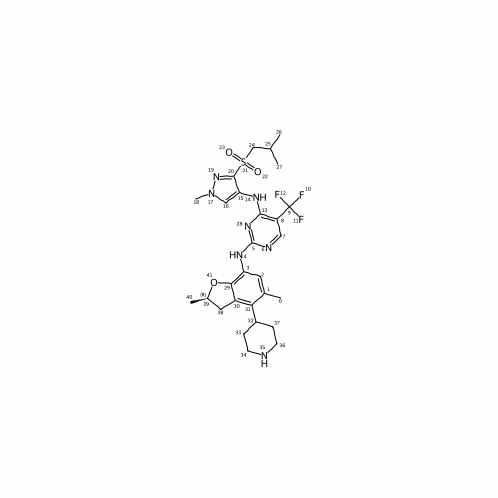 Cc1cc(Nc2ncc(C(F)(F)F)c(Nc3cn(C)nc3S(=O)(=O)CC(C)C)n2)c2c(c1C1CCNCC1)C[C@@H](C)O2